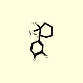 CC1(C)CCCC[C@@]1(O)c1ccc(Cl)c(Cl)c1